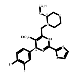 CCOC(=O)C1=C(CN2CCOC[C@@H]2OC(=O)O)NC(c2nccs2)=N[C@H]1c1ccc(Br)c(F)c1